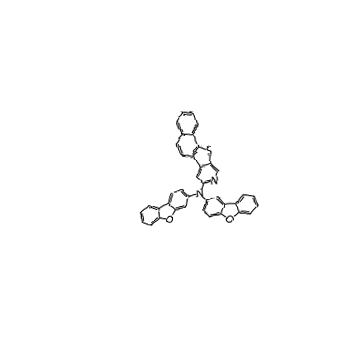 c1ccc2c(c1)ccc1c3cc(N(c4ccc5c(c4)oc4ccccc45)c4ccc5oc6ccccc6c5c4)ncc3sc21